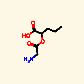 CCCC(OC(=O)CN)C(=O)O